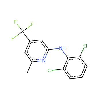 Cc1cc(C(F)(F)F)cc(Nc2c(Cl)cccc2Cl)n1